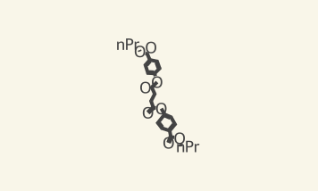 CCCOC(=O)c1ccc(OC(=O)CCC(=O)Oc2ccc(C(=O)OCCC)cc2)cc1